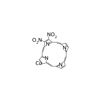 O=[N+]([O-])C1=C([N+](=O)[O-])C2=NC1=CC1=NC(=CC3=NC(=CC4=NC(=C2)C=C4)C=C3)C=C1.[Cu]